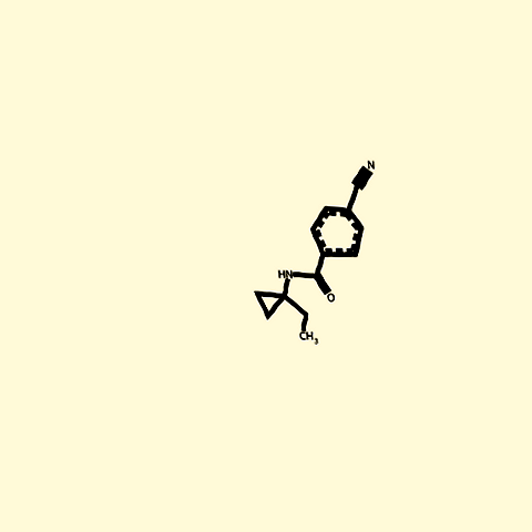 CCC1(NC(=O)c2ccc(C#N)cc2)CC1